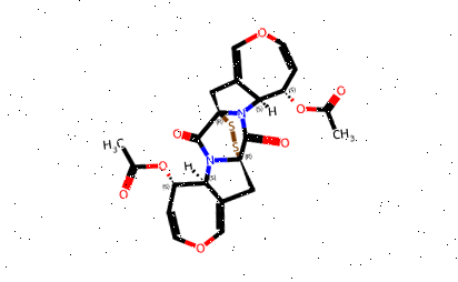 CC(=O)O[C@H]1C=COC=C2C[C@@]34SS[C@]5(CC6=COC=C[C@H](OC(C)=O)[C@H]6N5C3=O)C(=O)N4[C@@H]21